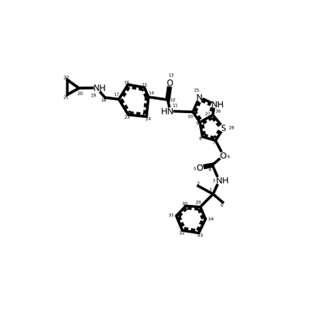 CC(C)(NC(=O)Oc1cc2c(NC(=O)c3ccc(CNC4CC4)cc3)n[nH]c2s1)c1ccccc1